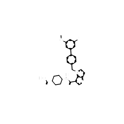 COc1cc(F)cc(-c2ccc(Cn3ccc4scc(C(=O)N[C@H]5CC[C@@H](C(=O)O)CC5)c43)cc2)c1